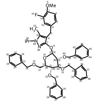 COc1ccc(Cc2c(O[C@@H]3O[C@H](COCc4ccccc4)[C@@H](OCc4ccccc4)[C@H](OCc4ccccc4)[C@H]3OCc3ccccc3)nn(C(C)C)c2C)cc1F